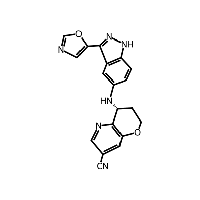 N#Cc1cnc2c(c1)OCC[C@H]2Nc1ccc2[nH]nc(-c3cnco3)c2c1